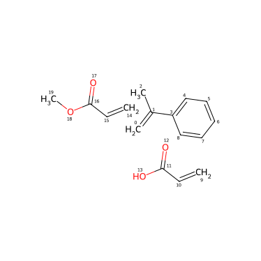 C=C(C)c1ccccc1.C=CC(=O)O.C=CC(=O)OC